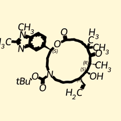 C=C[C@H]1CCCN(C(=O)OC(C)(C)C)CC[C@@H](c2ccc3c(c2)nc(C)n3C)OC(=O)CCC(C)(C)C(=O)[C@H](C)[C@H]1O